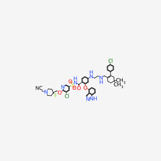 CC1(C)CCC(CNCCNc2ccc(C(=O)NS(=O)(=O)c3cnc(OCC4(F)CCN(CC#N)CC4)c(Cl)c3)c(Oc3cccc4[nH]ncc34)c2)=C(c2ccc(Cl)cc2)C1